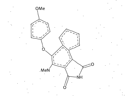 CNc1c2c(c3ccccc3c1Oc1ccc(OC)cc1)C(=O)NC2=O